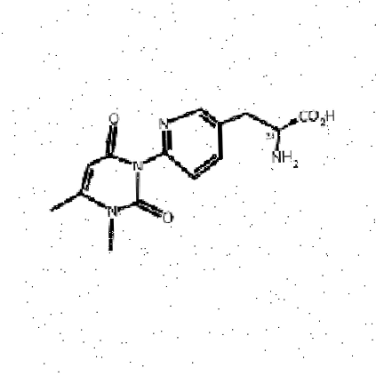 Cc1cc(=O)n(-c2ccc(C[C@H](N)C(=O)O)cn2)c(=O)n1C